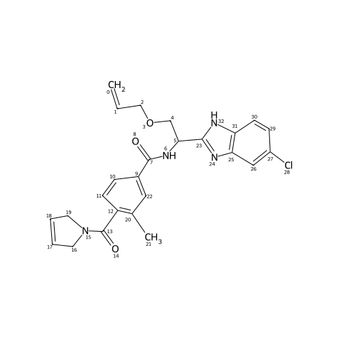 C=CCOCC(NC(=O)c1ccc(C(=O)N2CC=CC2)c(C)c1)c1nc2cc(Cl)ccc2[nH]1